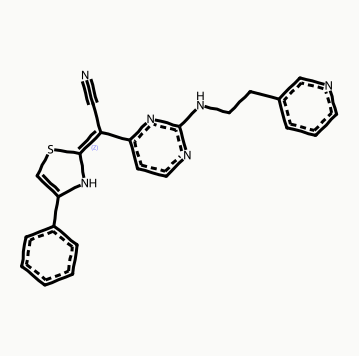 N#C/C(=C1/NC(c2ccccc2)=CS1)c1ccnc(NCCc2cccnc2)n1